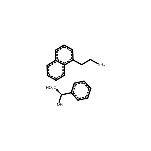 NCCc1cccc2ccccc12.O=C(O)[C@H](O)c1ccccc1